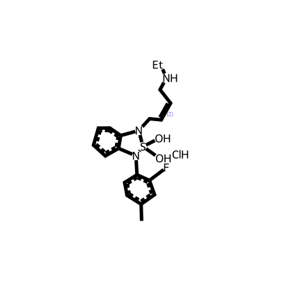 CCNC/C=C\CN1c2ccccc2N(c2ccc(C)cc2F)S1(O)O.Cl